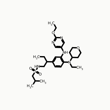 CCOc1ncc(Nc2cc(C(CC)CNS(=O)(=O)CC(C)C)ccc2N(CC)C2CCOCC2)cn1